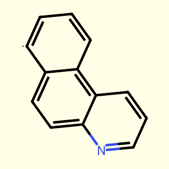 [c]1cccc2c1ccc1ncccc12